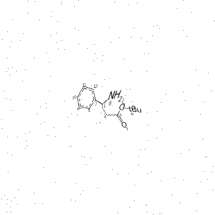 CC(C)(C)OC(=O)[CH]C(N)c1ccccc1